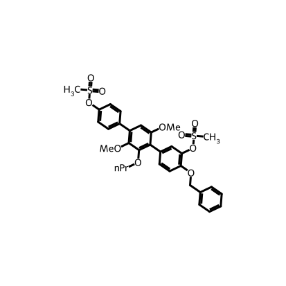 CCCOc1c(OC)c(-c2ccc(OS(C)(=O)=O)cc2)cc(OC)c1-c1ccc(OCc2ccccc2)c(OS(C)(=O)=O)c1